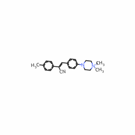 Cc1ccc(/C(C#N)=C/c2ccc(N3CC[N+](C)(C)CC3)cc2)cc1